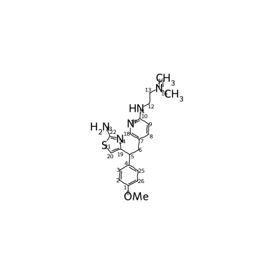 COc1ccc(C(Cc2ccc(NCCN(C)C)nc2)c2csc(N)n2)cc1